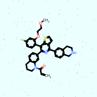 C=CC(=O)N1CCCc2ccc(-c3nc(-c4ccc5c(c4)CCNC5)c4ccsc4c3-c3ccc(F)cc3OCCOC)cc21